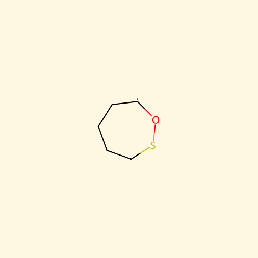 [CH]1CCCCSO1